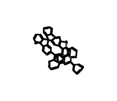 c1ccc(-c2cc3c4ccccc4c(-c4ccc5c(c4)C4(c6ccccc6-c6cc7sc8ccc9ccccc9c8c7cc64)c4cccnc4-5)cc3c3ccccc23)cc1